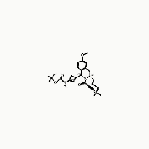 CCCC[C@H]1Cc2cc(OC)ccc2[C@H](C23CC(NC(=O)OC(C)(C)C)(C2)C3)N1C(=O)C#C[Si](C)(C)C